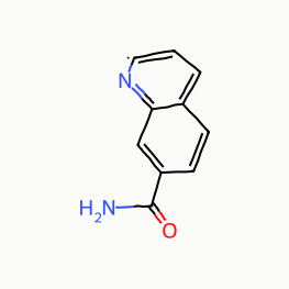 NC(=O)c1ccc2cc[c]nc2c1